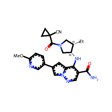 CC[C@H]1CN(C(=O)C2(C#N)CC2)C[C@H]1Nc1c(C(N)=O)cnn2cc(-c3ccc(OC)nc3)cc12